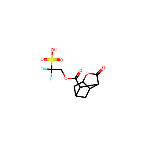 O=C(OCC(F)(F)S(=O)(=O)O)C1C2CC3OC(=O)C1C3C2